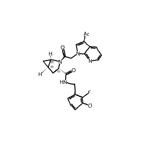 CC(=O)c1cn(CC(=O)N2[C@@H]3C[C@@H]3C[C@H]2C(=O)NCc2cccc(Cl)c2F)c2ncccc12